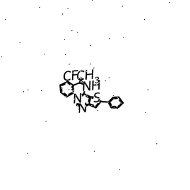 CC(Nc1ncnc2cc(-c3ccccc3)sc12)c1ccccc1C(F)(F)F